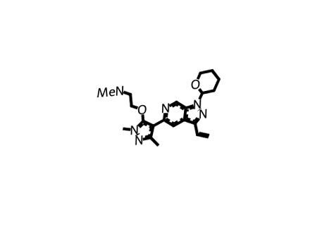 C=Cc1nn(C2CCCCO2)c2cnc(-c3c(C)nn(C)c3OCCNC)cc12